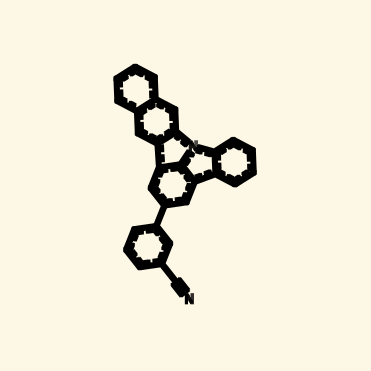 N#Cc1cccc(-c2cc3c4ccccc4n4c5cc6ccccc6cc5c(c2)c34)c1